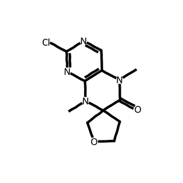 CN1C(=O)C2(CCOC2)N(C)c2nc(Cl)ncc21